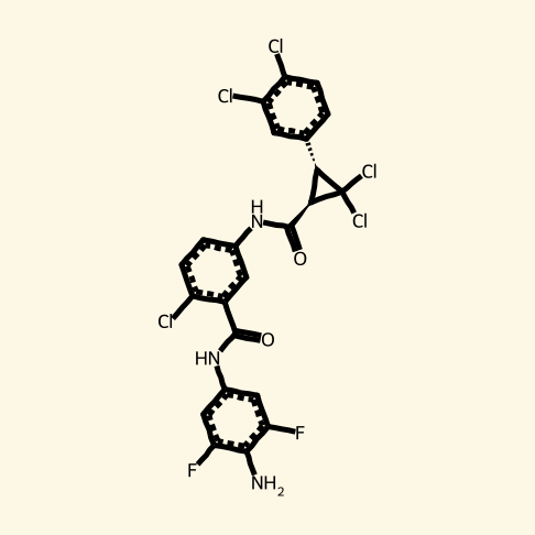 Nc1c(F)cc(NC(=O)c2cc(NC(=O)[C@H]3[C@H](c4ccc(Cl)c(Cl)c4)C3(Cl)Cl)ccc2Cl)cc1F